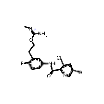 C/N=C(/N)OCCc1cc(NC(=O)c2ncc(Br)cc2Cl)ccc1F